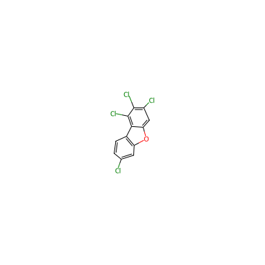 Clc1ccc2c(c1)oc1cc(Cl)c(Cl)c(Cl)c12